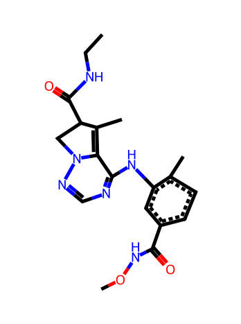 CCNC(=O)C1CN2N=CN=C(Nc3cc(C(=O)NOC)ccc3C)C2=C1C